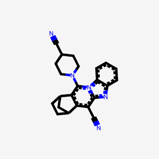 N#Cc1c2c(c(N3CCC(C#N)CC3)n3c1nc1ccccc13)C1CCC2C1